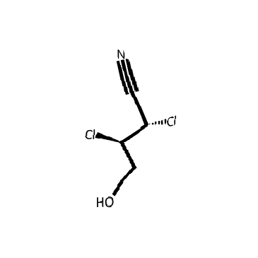 N#C[C@H](Cl)[C@H](Cl)CO